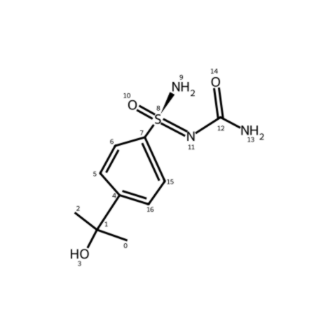 CC(C)(O)c1ccc([S@](N)(=O)=NC(N)=O)cc1